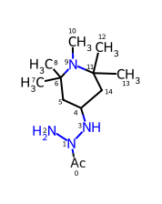 CC(=O)N(N)NC1CC(C)(C)N(C)C(C)(C)C1